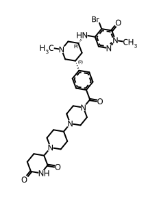 CN1C[C@H](Nc2cnn(C)c(=O)c2Br)C[C@H](c2ccc(C(=O)N3CCN(C4CCN(C5CCC(=O)NC5=O)CC4)CC3)cc2)C1